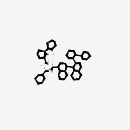 c1ccc(-c2nc(-c3ccc(-c4c(-c5ccccc5-c5ccccc5)ccc5ccccc45)c4ccccc34)nc(-c3cccc4c3oc3ccccc34)n2)cc1